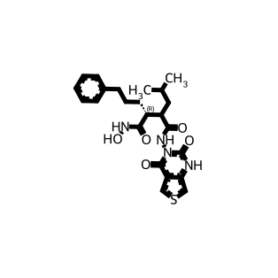 CC(C)CC(C(=O)Nn1c(=O)[nH]c2cscc2c1=O)[C@@H](CCCc1ccccc1)C(=O)NO